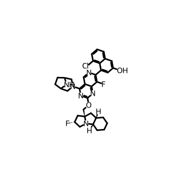 Oc1cc(-c2ncc3c(N4CC5CCC(C4)N5)nc(OC[C@]45C[C@@H](F)CN4[C@H]4CCCC[C@H]4C5)nc3c2F)c2c(Cl)cccc2c1